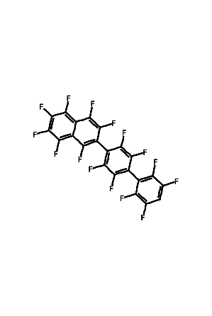 Fc1cc(F)c(F)c(-c2c(F)c(F)c(-c3c(F)c(F)c4c(F)c(F)c(F)c(F)c4c3F)c(F)c2F)c1F